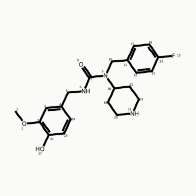 COc1cc(CNC(=O)N(Cc2ccc(F)cc2)C2CCNCC2)ccc1O